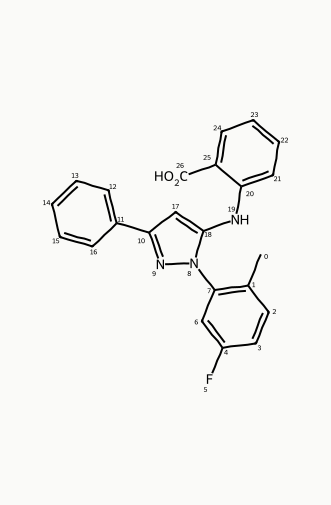 Cc1ccc(F)cc1-n1nc(-c2ccccc2)cc1Nc1ccccc1C(=O)O